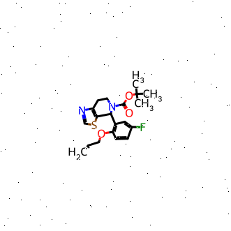 C=CCOc1ccc(F)cc1C1c2scnc2CCN1C(=O)OC(C)(C)C